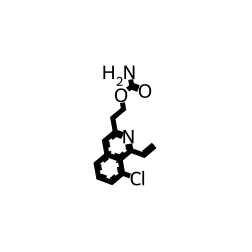 C=Cc1nc(CCOC(N)=O)cc2cccc(Cl)c12